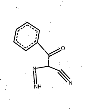 N#CC(N=N)C(=O)c1ccccc1